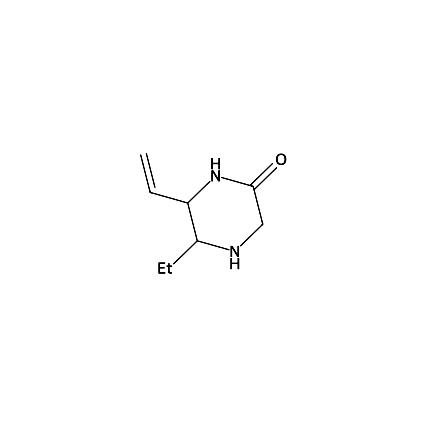 C=CC1NC(=O)CNC1CC